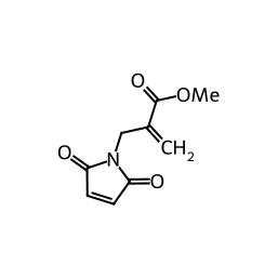 C=C(CN1C(=O)C=CC1=O)C(=O)OC